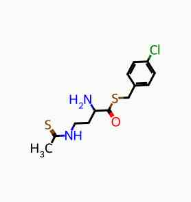 CC(=S)NCCC(N)C(=O)SCc1ccc(Cl)cc1